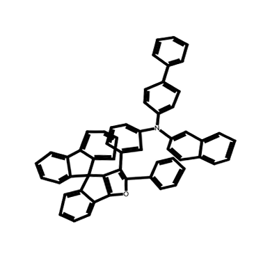 c1ccc(-c2ccc(N(c3cccc(-c4c(-c5ccccc5)oc5c4C4(c6ccccc6-c6ccccc64)c4ccccc4-5)c3)c3ccc4ccccc4c3)cc2)cc1